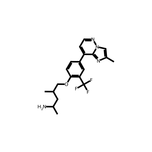 Cc1cn2nccc(-c3ccc(OCC(C)CC(C)N)c(C(F)(F)F)c3)c2n1